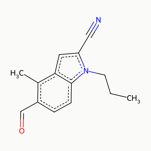 CCCn1c(C#N)cc2c(C)c(C=O)ccc21